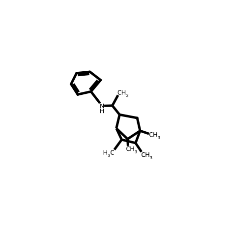 CC(Nc1ccccc1)C1CC2(C)C(C)C(C)C1C2C